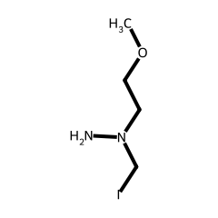 COCCN(N)CI